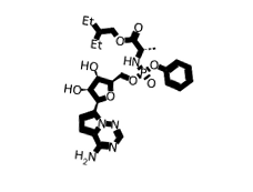 CCC(CC)COC(=O)[C@H](C)NP(=O)(OC[C@H]1O[C@@H](c2ccc3c(N)ncnn23)[C@H](O)[C@@H]1O)Oc1ccccc1